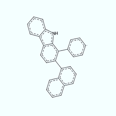 [c]1ccc(-c2c(-c3cccc4ccccc34)ccc3c2[nH]c2ccccc23)cc1